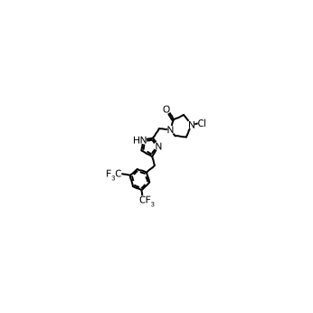 O=C1CN(Cl)CCN1Cc1nc(Cc2cc(C(F)(F)F)cc(C(F)(F)F)c2)c[nH]1